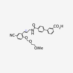 COCCOCOc1ccc(C#N)cc1/C=C/CNC(=O)c1ccc(-c2cccc(C(=O)O)c2)cc1